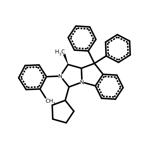 Cc1ccccc1N1C(C2CCCC2)N2c3ccccc3C(c3ccccc3)(c3ccccc3)C2[C@@H]1C